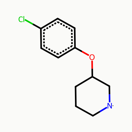 Clc1ccc(OC2CCC[N]C2)cc1